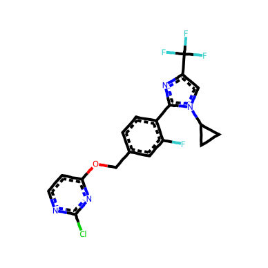 Fc1cc(COc2ccnc(Cl)n2)ccc1-c1nc(C(F)(F)F)cn1C1CC1